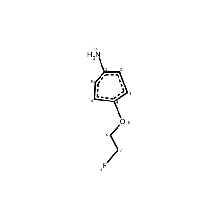 Nc1ccc(OCCF)cc1